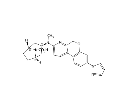 CN(c1ccc2c(n1)COc1cc(-n3cccn3)ccc1-2)[C@@H]1C[C@H]2CC[C@@H](C1)N2C(=O)O